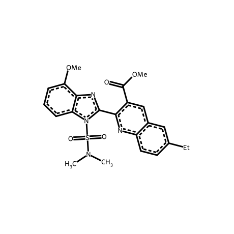 CCc1ccc2nc(-c3nc4c(OC)cccc4n3S(=O)(=O)N(C)C)c(C(=O)OC)cc2c1